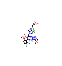 CCOC(=O)C1=C(CN2CC(F)(F)C3C2CCN3CCC(C)(C)C(=O)O)NC(c2ncoc2C)=NC1c1cccc(F)c1C